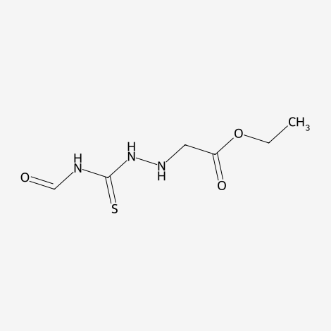 CCOC(=O)CNNC(=S)NC=O